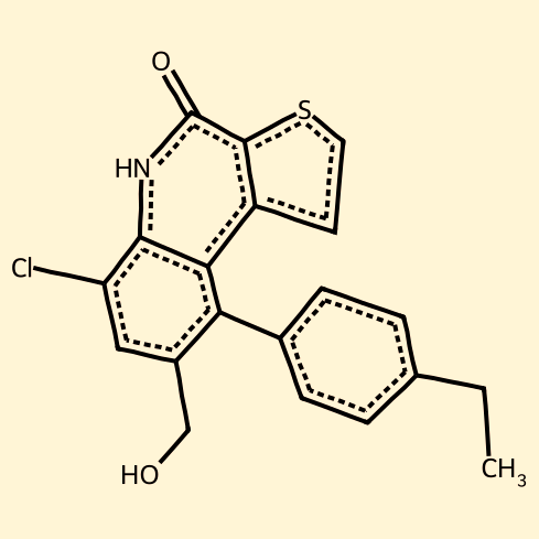 CCc1ccc(-c2c(CO)cc(Cl)c3[nH]c(=O)c4sccc4c23)cc1